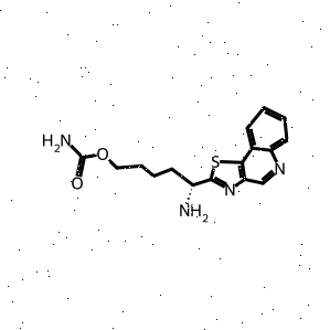 NC(=O)OCCCC[C@@H](N)c1nc2cnc3ccccc3c2s1